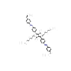 C=Cc1ccc(/C=C/c2ccc(C3=C4C(=O)N(CCCCCC)C(c5ccc(/C=C/c6ccc(C=C)cc6)cc5)=C4C(=O)N3CCCCCC)cc2)cc1